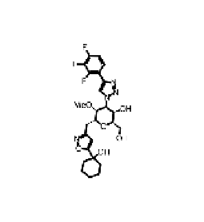 CO[C@@H]1[C@@H](n2cc(-c3ccc(F)c(F)c3F)nn2)[C@@H](O)[C@@H](CO)O[C@@H]1Cc1cc(C2(O)CCCCC2)on1